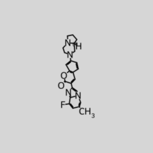 Cc1cc(F)c2nc(-c3cc4ccc(N5CCN6CCC[C@@H]6C5)cc4oc3=O)cn2c1